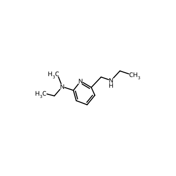 CCNCc1cccc(N(C)CC)n1